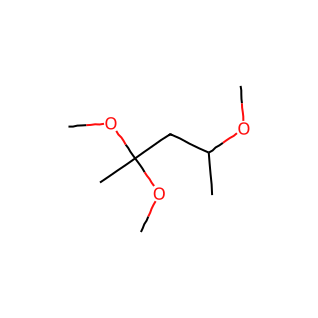 COC(C)CC(C)(OC)OC